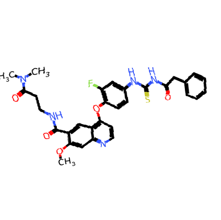 COc1cc2nccc(Oc3ccc(NC(=S)NC(=O)Cc4ccccc4)cc3F)c2cc1C(=O)NCCC(=O)N(C)C